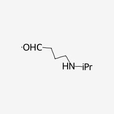 CC(C)NCCC[C]=O